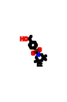 CCC1(C)CN(S(=O)(=O)c2ccc(C(C)O)cc2)CC(C)(C)C1